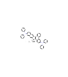 C[Si](C)(C)C1([Si](C)(C)C)c2cc3cc(N(c4ccccc4)c4ccccc4)ccc3cc2-c2c1c1ccc(N(c3ccccc3)c3ccccc3)cc1c1ccccc21